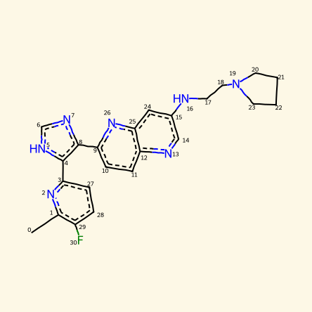 Cc1nc(-c2[nH]cnc2-c2ccc3ncc(NCCN4CCCC4)cc3n2)ccc1F